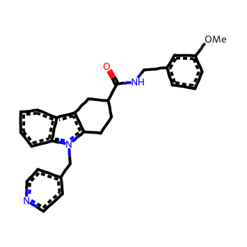 COc1cccc(CNC(=O)C2CCc3c(c4ccccc4n3Cc3ccncc3)C2)c1